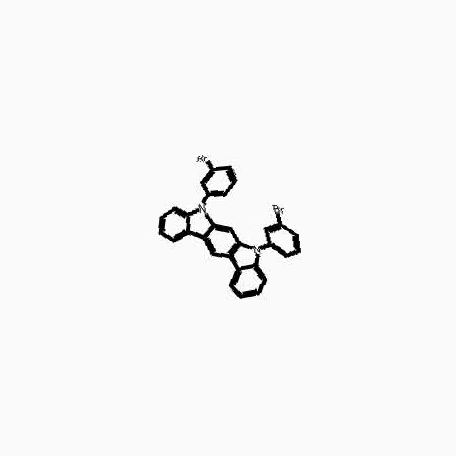 Brc1cccc(-n2c3ccccc3c3cc4c5ccccc5n(-c5cccc(Br)c5)c4cc32)c1